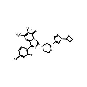 Cc1nc2c(-c3ccc(Cl)cc3F)nc([C@H]3CCO[C@@H](c4cnn(C5CCC5)c4)C3)cn2c(=O)c1C